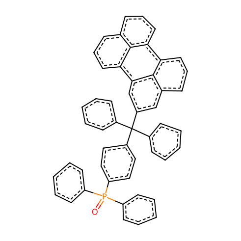 O=P(c1ccccc1)(c1ccccc1)c1ccc(C(c2ccccc2)(c2ccccc2)c2cc3cccc4c5cccc6cccc(c(c2)c34)c65)cc1